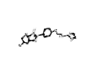 Brc1cnc2[nH]c(-c3ccc(OCCNc4nccs4)cc3)nc2c1